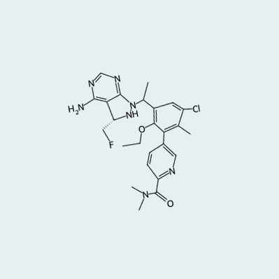 CCOc1c(C(C)N2N[C@H](CF)c3c(N)ncnc32)cc(Cl)c(C)c1-c1ccc(C(=O)N(C)C)nc1